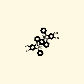 [C-]#[N+]c1cc2c(cc1[N+]#[C-])N(c1ccccc1)P(=O)(c1ccc(P3(=O)N(c4ccccc4)c4cc(C#N)c(C#N)cc4N3c3ccccc3)cc1)N2c1ccccc1